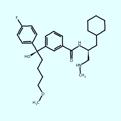 CNC[C@H](CC1CCCCC1)NC(=O)c1cccc([C@](O)(CCCCOC)c2ccc(F)cc2)c1